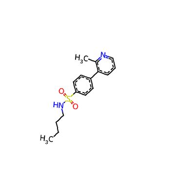 CCCCNS(=O)(=O)c1ccc(-c2cccnc2C)cc1